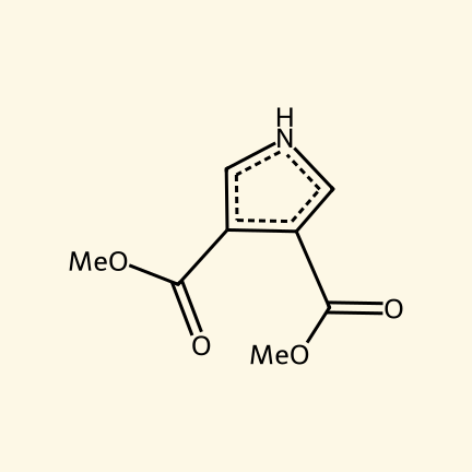 COC(=O)c1c[nH]cc1C(=O)OC